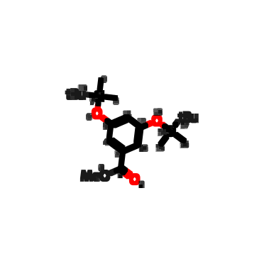 COC(=O)c1cc(O[Si](C)(C)C(C)(C)C)cc(O[Si](C)(C)C(C)(C)C)c1